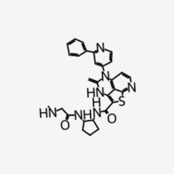 C=c1[nH]c2c(C(=O)N[C@H]3CCC[C@H]3NC(=O)CNC)sc3nccc(c32)n1-c1ccnc(-c2ccccc2)c1